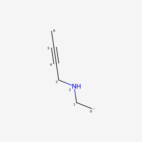 [CH2]CNCC#CC